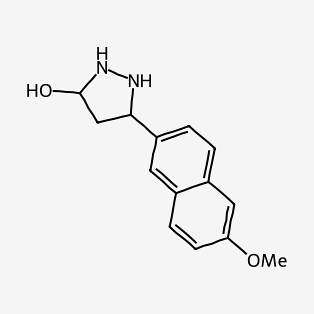 COc1ccc2cc(C3CC(O)NN3)ccc2c1